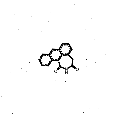 O=C1Cc2cccc3cc4ccccc4c(c23)C(=O)N1